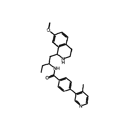 CCC(CC1NCCc2ccc(OC)cc21)NC(=O)c1ccc(-c2cnccc2C)cc1